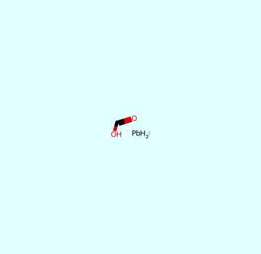 O=CO.[PbH2]